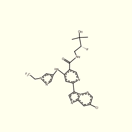 CC(C)(O)[C@H](F)CNC(=O)c1cnc(-c2cnc3cc(Cl)cnn23)cc1Nc1cnn(CC(F)(F)F)c1